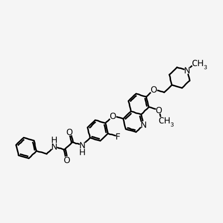 COc1c(OCC2CCN(C)CC2)ccc2c(Oc3ccc(NC(=O)C(=O)NCc4ccccc4)cc3F)ccnc12